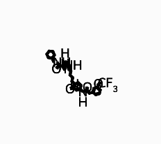 O=C(Cc1cccc(OC(F)(F)F)c1)Nc1ccn(CCCCN2C=C(C(=O)NCC3CCCCC3)NN2)c(=O)c1